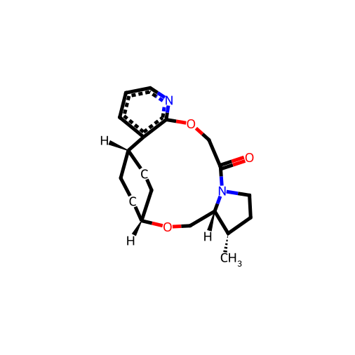 C[C@H]1CCN2C(=O)COc3ncccc3[C@H]3CC[C@H](CC3)OC[C@@H]12